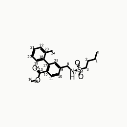 CCCCS(=O)(=O)NCc1ccc(C(=O)OC)c(-c2ccccc2C)c1